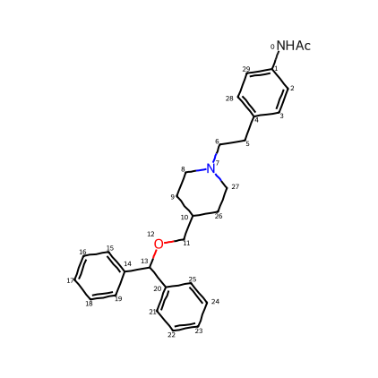 CC(=O)Nc1ccc(CCN2CCC(COC(c3ccccc3)c3ccccc3)CC2)cc1